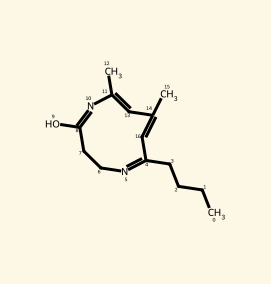 CCCCC1=N\CC\C(O)=N/C(C)=C/C(C)=C/1